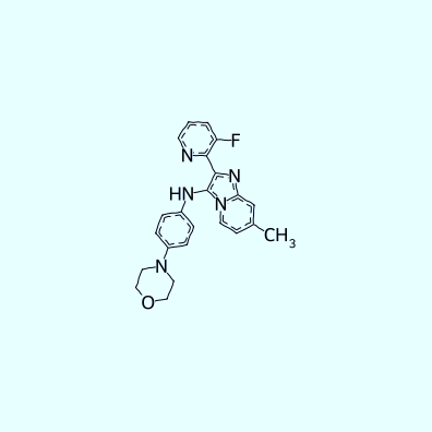 Cc1ccn2c(Nc3ccc(N4CCOCC4)cc3)c(-c3ncccc3F)nc2c1